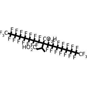 CC(CC(=O)O)C(C(=O)O)(C(F)(F)C(F)(F)C(F)(F)C(F)(F)C(F)(F)C(F)(F)C(F)(F)C(F)(F)F)C(F)(F)C(F)(F)C(F)(F)C(F)(F)C(F)(F)C(F)(F)C(F)(F)C(F)(F)F